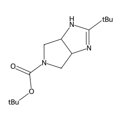 CC(C)(C)OC(=O)N1CC2N=C(C(C)(C)C)NC2C1